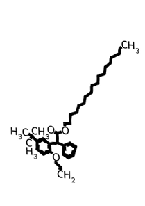 C=CCOc1ccc(C(C)(C)C)cc1C(C(=O)OCCCCCCCCCCCCCCCCCC)c1ccccc1